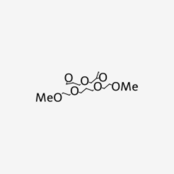 C(OCC1CO1)C1CO1.COCCOCCCOCCOC